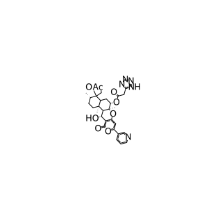 CC(=O)OCC1(C)C2C[C@H](OC(=O)Cc3nnn[nH]3)[C@@]3(C)Oc4cc(-c5cccnc5)oc(=O)c4[C@H](O)C3[C@@]2(C)CC[C@@H]1C